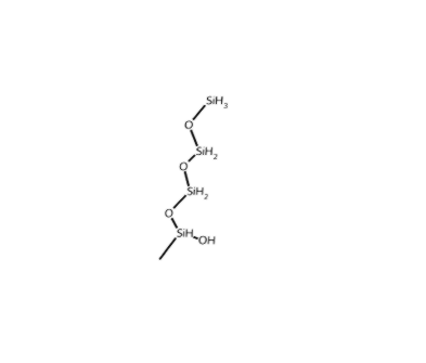 C[SiH](O)O[SiH2]O[SiH2]O[SiH3]